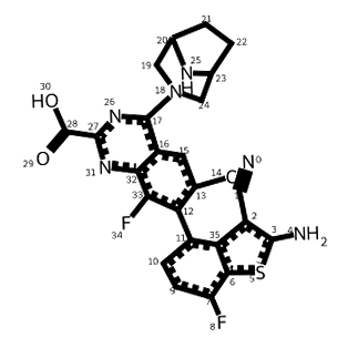 N#Cc1c(N)sc2c(F)ccc(-c3c(Cl)cc4c(N5CC6CCC(C5)N6)nc(C(=O)O)nc4c3F)c12